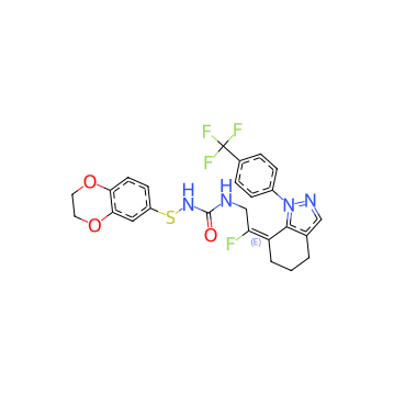 O=C(NC/C(F)=C1/CCCc2cnn(-c3ccc(C(F)(F)F)cc3)c21)NSc1ccc2c(c1)OCCO2